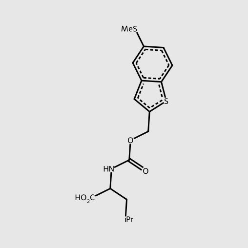 CSc1ccc2sc(COC(=O)NC(CC(C)C)C(=O)O)cc2c1